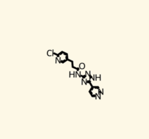 O=C(CCc1ccc(Cl)nc1)Nc1n[nH]c(-c2ccnnc2)n1